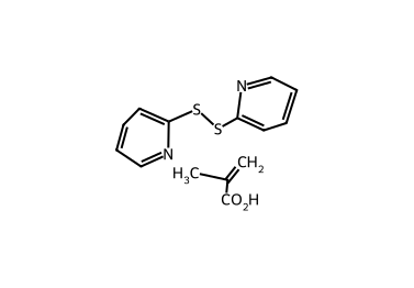 C=C(C)C(=O)O.c1ccc(SSc2ccccn2)nc1